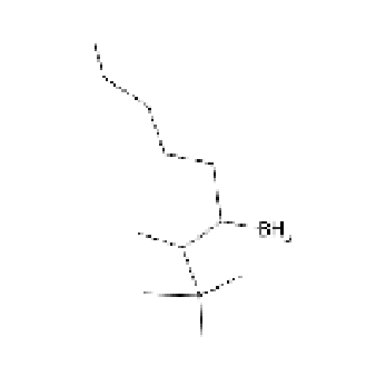 BC(CCCCC)C(C)C(C)(C)C